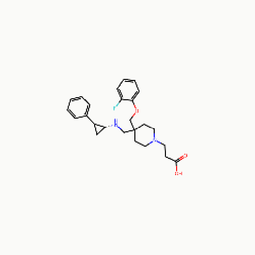 O=C(O)CCN1CCC(CN[C@@H]2CC2c2ccccc2)(COc2ccccc2F)CC1